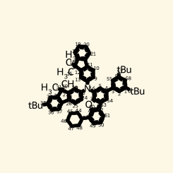 CC(C)(C)c1cc(-c2cc(N(c3ccc4c(c3)C(C)(C)c3ccccc3-4)c3ccc4c(c3)C(C)(C)c3cc(C(C)(C)C)ccc3-4)c3oc4c(C5CCCCC5)cccc4c3c2)cc(C(C)(C)C)c1